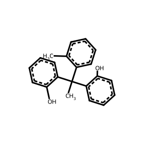 Cc1ccccc1C(C)(c1ccccc1O)c1ccccc1O